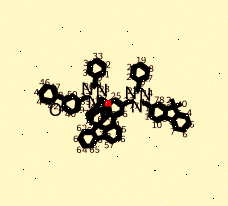 CC1(C)c2ccccc2-c2ccc(-c3nc(-c4ccccc4)nc(-c4cc(-c5nc(-c6ccccc6)nc(-c6ccc7oc8ccccc8c7c6)n5)cc(-c5cccc6c5C5(c7ccccc7-6)C6CC7CC(C6)CC5C7)c4)n3)cc21